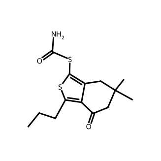 CCCc1sc(SC(N)=O)c2c1C(=O)CC(C)(C)C2